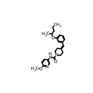 CCCC(C)Oc1cccc(C=C2CCN(C(=O)Nc3ccc(OC)nc3)CC2)c1